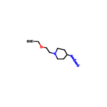 [N-]=[N+]=NC1CCN(CCOCC=O)CC1